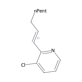 CCCCCC/C=C/c1ncccc1Cl